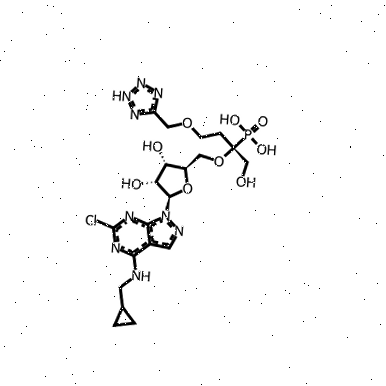 O=P(O)(O)[C@@](CO)(CCOCc1nn[nH]n1)OC[C@H]1O[C@@H](n2ncc3c(NCC4CC4)nc(Cl)nc32)[C@H](O)[C@@H]1O